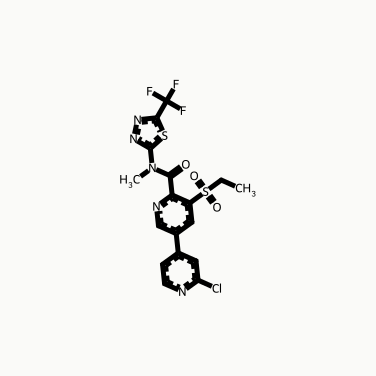 CCS(=O)(=O)c1cc(-c2ccnc(Cl)c2)cnc1C(=O)N(C)c1nnc(C(F)(F)F)s1